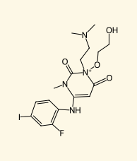 CN(C)CC[N+]1(OCCO)C(=O)C=C(Nc2ccc(I)cc2F)N(C)C1=O